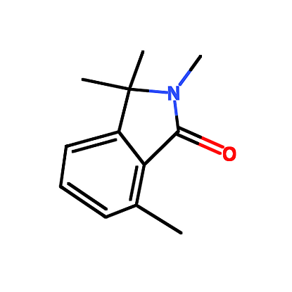 Cc1cccc2c1C(=O)N(C)C2(C)C